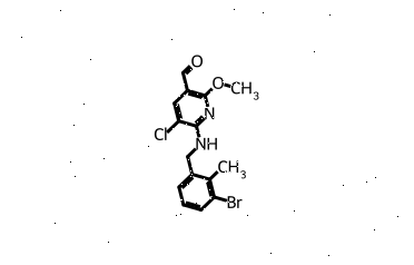 COc1nc(NCc2cccc(Br)c2C)c(Cl)cc1C=O